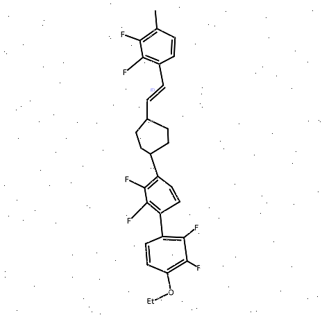 CCOc1ccc(-c2ccc(C3CCC(/C=C/c4ccc(C)c(F)c4F)CC3)c(F)c2F)c(F)c1F